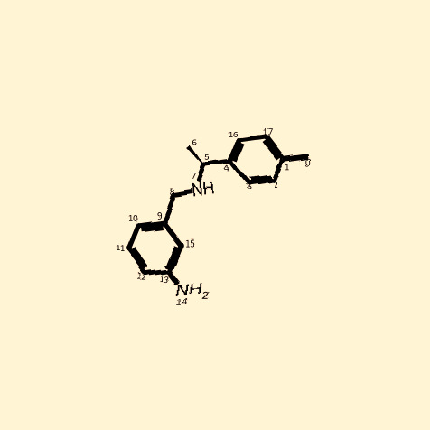 Cc1ccc([C@H](C)NCc2cccc(N)c2)cc1